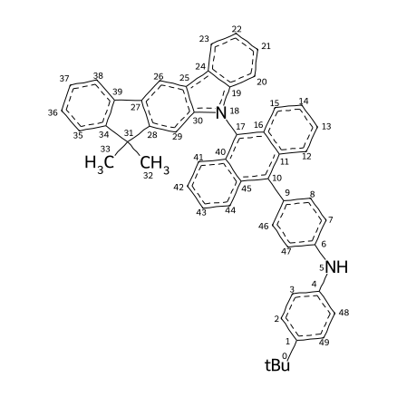 CC(C)(C)c1ccc(Nc2ccc(-c3c4ccccc4c(-n4c5ccccc5c5cc6c(cc54)C(C)(C)c4ccccc4-6)c4ccccc34)cc2)cc1